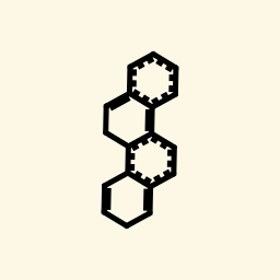 C1=Cc2c3c(ccc2=CC1)=c1ccccc1=CC3